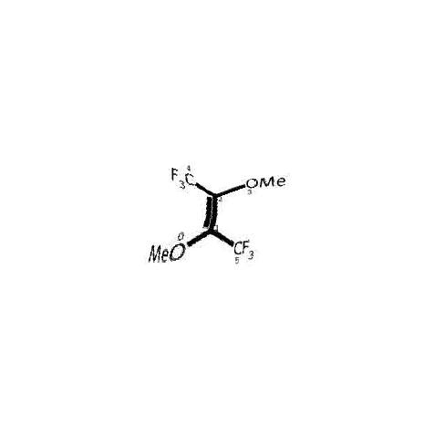 COC(=C(OC)C(F)(F)F)C(F)(F)F